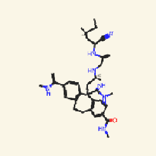 C=C(CN[C@@H](C)CC1(C(=N)NC)c2ccc(C(=C)NC)cc2CCc2cc(C(=O)NC)ccc21)NC(C#N)C[C@@H](C)CC